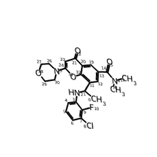 CC(Nc1cccc(Cl)c1F)c1cc(C(=O)N(C)C)cc2c(=O)cc(N3CCOCC3)oc12